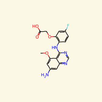 COc1cc(N)cc2ncnc(Nc3ccc(F)cc3OCC(=O)O)c12